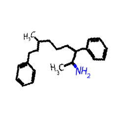 CC(CCCC(c1ccccc1)C(C)N)CCc1ccccc1